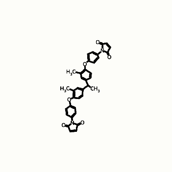 Cc1cc(C(C)c2ccc(Oc3ccc(N4C(=O)C=CC4=O)cc3)c(C)c2)ccc1Oc1ccc(N2C(=O)C=CC2=O)cc1